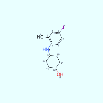 N#Cc1cc(I)ccc1NC1CCC(O)CC1